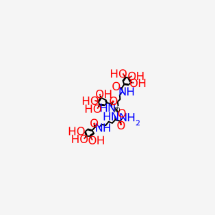 NC(=O)C(CCCCNC(=O)c1cc(O)c(O)c(O)c1)NC(=O)[C@@H](CCCCNC(=O)c1cc(O)c(O)c(O)c1)NC(=O)c1cc(O)c(O)c(O)c1